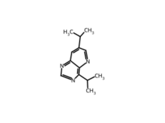 CC(C)c1cnc2c(C(C)C)ncnc2c1